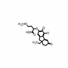 CCC12CCC(=O)C=C1c1c(cc(OC(CCOC)C(=O)O)c(Cl)c1Cl)C2